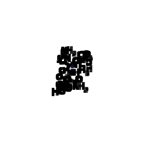 CC(C)(O/N=C(/C(=O)N[C@H]1C(=O)N(S(=O)(=O)O)[C@@H]1C(N)=O)c1csc(N)n1)C(=O)O